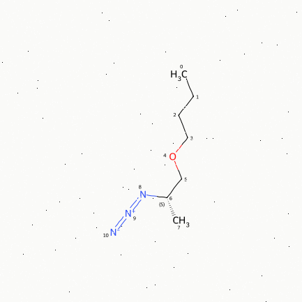 CCCCOC[C@H](C)N=[N+]=[N-]